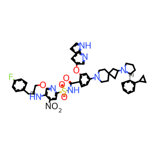 O=C(NS(=O)(=O)c1cc([N+](=O)[O-])c2c(n1)OC[C@H](Cc1ccc(F)cc1)N2)c1ccc(N2CCC3(CC2)CC(N2CCC[C@@H]2c2ccccc2C2CC2)C3)cc1Oc1cnc2[nH]ccc2c1